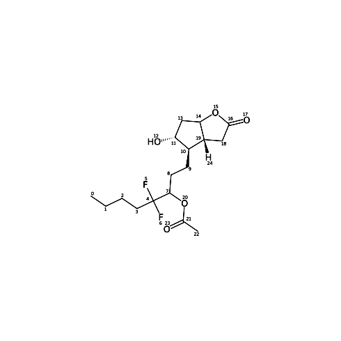 CCCCC(F)(F)C(CC[C@H]1[C@H](O)CC2OC(=O)C[C@@H]21)OC(C)=O